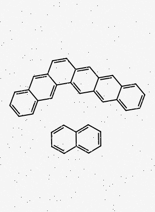 c1ccc2cc3cc4c(ccc5cc6ccccc6cc54)cc3cc2c1.c1ccc2ccccc2c1